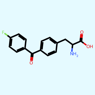 NC(Cc1ccc(C(=O)c2ccc(F)cc2)cc1)C(=O)O